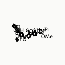 COC[C@H]1CN(c2ccc3c4c(c(=O)oc3c2C)CN(C(=O)c2ccc(C(=O)NS(=O)(=O)N3CCCC3)c(OC3CCC3)c2F)CC4)CCN1C(C)C